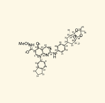 CONC(=O)c1cn(-c2ccc3c(c2)CCC3)c2nc(Nc3ccc(C4C[C@@]5(C)O[C@@](C)(C4)C4OC(C)(C)OC45)cc3)ncc2c1=O